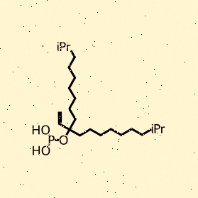 C=CC(CCCCCCCC(C)C)(CCCCCCCC(C)C)OP(O)O